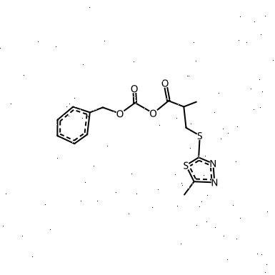 Cc1nnc(SCC(C)C(=O)OC(=O)OCc2ccccc2)s1